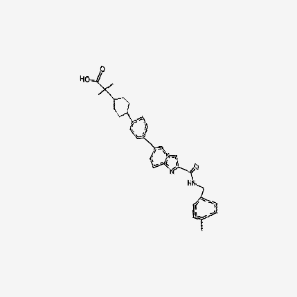 Cc1ccc(CNC(=O)c2cn3cc(-c4ccc(C5CCC(C(C)(C)C(=O)O)CC5)cc4)ccc3n2)cc1